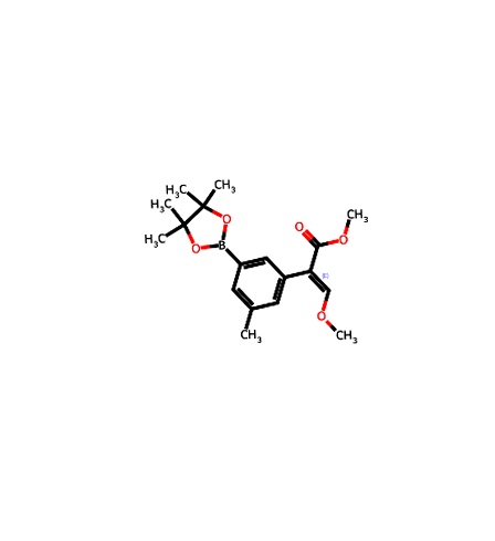 CO/C=C(/C(=O)OC)c1cc(C)cc(B2OC(C)(C)C(C)(C)O2)c1